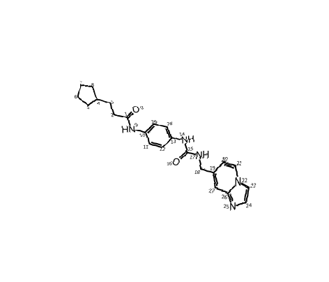 O=C(CCC1CCCC1)Nc1ccc(NC(=O)NCc2ccn3ccnc3c2)cc1